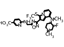 CN1CC[C@@H](N(C)c2cccn3c(SC(F)(F)F)c(-c4noc(CNc5ccc(C(=O)O)cn5)n4)cc23)[C@@H](F)C1